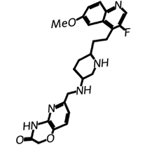 COc1ccc2ncc(F)c(CCC3CCC(NCc4ccc5c(n4)NC(=O)CO5)CN3)c2c1